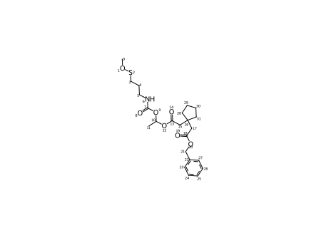 COSCCCNC(=O)OC(C)OC(=O)CC1(CC(=O)OCc2ccccc2)CCCC1